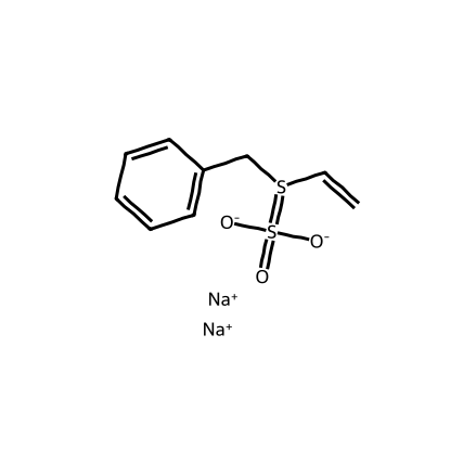 C=CS(Cc1ccccc1)=S(=O)([O-])[O-].[Na+].[Na+]